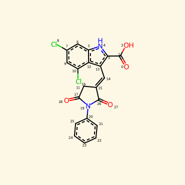 O=C(O)c1[nH]c2cc(Cl)cc(Cl)c2c1C=C1CC(=O)N(c2ccccc2)C1=O